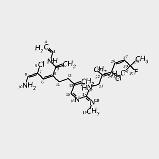 C=CNC(=C)/C(=C\C(Cl)=C/N)CCC(=C)/C=N\C(=N/C)NC/C(C)=C(Cl)/C=C\C(C)(C)F